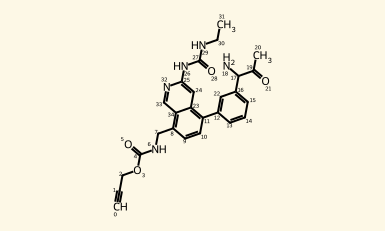 C#CCOC(=O)NCc1ccc(-c2cccc(C(N)C(C)=O)c2)c2cc(NC(=O)NCC)ncc12